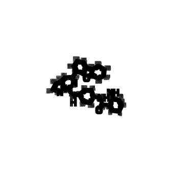 Nc1ccccc1C(=O)Nc1ccc(Nc2nc(-c3cccc4c3oc3ccccc34)cc3ccnn23)cc1